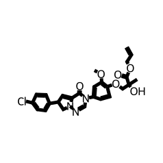 C=CCOC(=O)C(C)(O)COc1ccc(N2C=NN3CC(c4ccc(Cl)cc4)C=C3C2=O)cc1OC